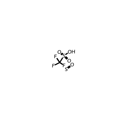 O=S.O=S(=O)(O)C(F)(F)F